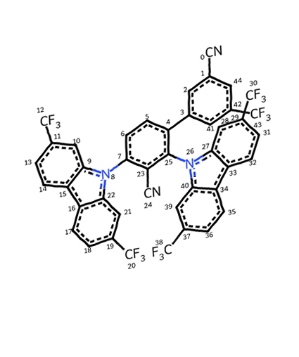 N#Cc1cc(-c2ccc(-n3c4cc(C(F)(F)F)ccc4c4ccc(C(F)(F)F)cc43)c(C#N)c2-n2c3cc(C(F)(F)F)ccc3c3ccc(C(F)(F)F)cc32)cc(C(F)(F)F)c1